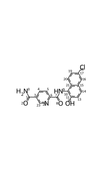 NC(=O)c1ccc(C(=O)Nc2c(O)ccc3cc(Cl)ccc23)nc1